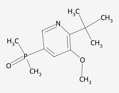 COc1cc(P(C)(C)=O)cnc1C(C)(C)C